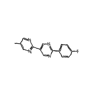 Cc1cnc(-c2cnc(-c3ccc(F)cc3)nc2)nc1